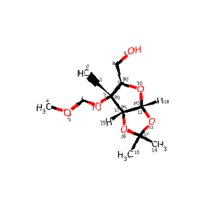 C#C[C@@]1(OCOC)[C@@H](CO)O[C@@H]2OC(C)(C)O[C@@H]21